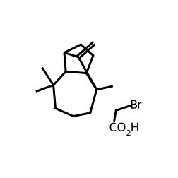 C=C1C2CCC3C2C(C)(C)CCCC13C.O=C(O)CBr